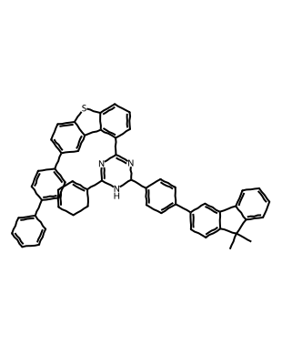 CC1(C)c2ccccc2-c2cc(-c3ccc(C4N=C(c5cccc6sc7ccc(-c8ccc(-c9ccccc9)cc8)cc7c56)N=C(C5=CC=CCC5)N4)cc3)ccc21